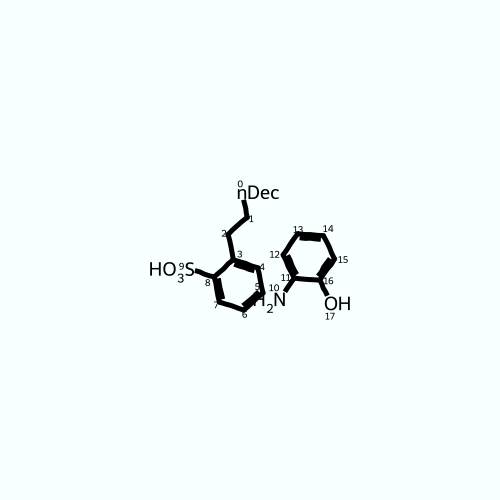 CCCCCCCCCCCCc1ccccc1S(=O)(=O)O.Nc1ccccc1O